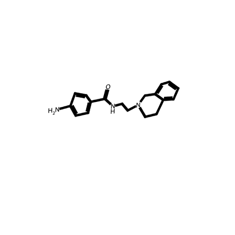 Nc1ccc(C(=O)NCCN2CCc3ccccc3C2)cc1